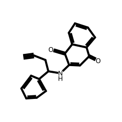 C#CCC(NC1=CC(=O)c2ccccc2C1=O)c1ccccc1